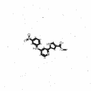 COC(=O)C1=CNC(c2cc(Nc3cccc([N+](=O)[O-])c3)ccn2)C1